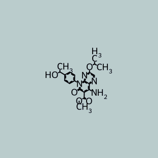 COC(=O)c1c(N)c2ncc(OC(C)C)nc2n(-c2ccc(C(C)O)cc2)c1=O